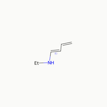 C=C/C=C/NCC